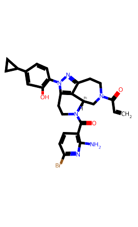 C=CC(=O)N1CCc2nn(-c3ccc(C4CC4)cc3O)c3c2[C@H](C1)N(C(=O)c1ccc(Br)nc1N)CC3